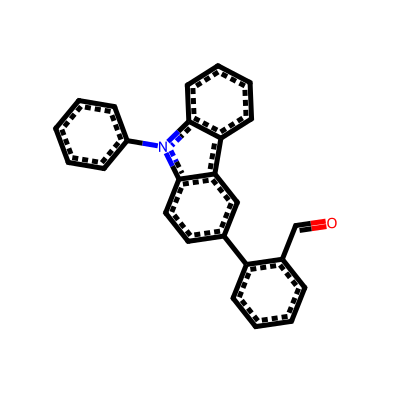 O=Cc1ccccc1-c1ccc2c(c1)c1ccccc1n2-c1ccccc1